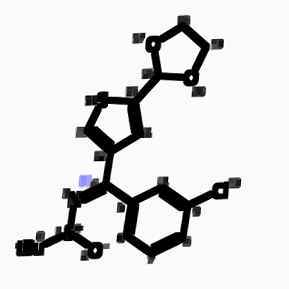 CC(C)(C)[S+]([O-])/N=C(\c1cccc(Cl)c1)c1csc(C2OCCO2)c1